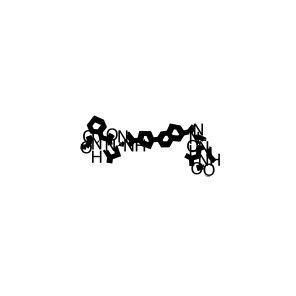 C=C1C[C@@H](c2ncc(-c3ccc(-c4ccc5cc(-c6cnc(CN(CCC)C(=O)[C@@H](NC(=O)OC)C(C)C)[nH]6)ccc5c4)cc3)[nH]2)N(C(=O)[C@H](NC(=O)OC)C2=CC=CCC2)C1